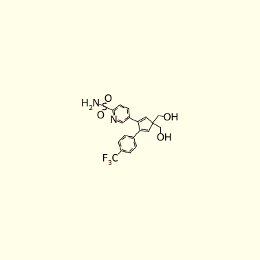 NS(=O)(=O)c1ccc(C2=CC(CO)(CO)C=C2c2ccc(C(F)(F)F)cc2)cn1